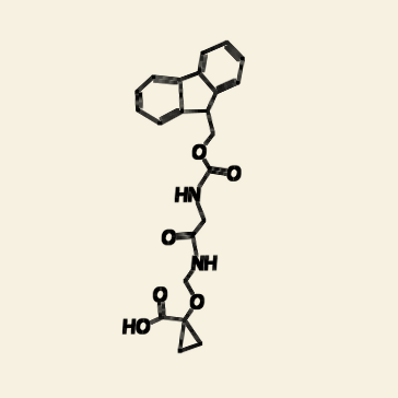 O=C(CNC(=O)OCC1c2ccccc2-c2ccccc21)NCOC1(C(=O)O)CC1